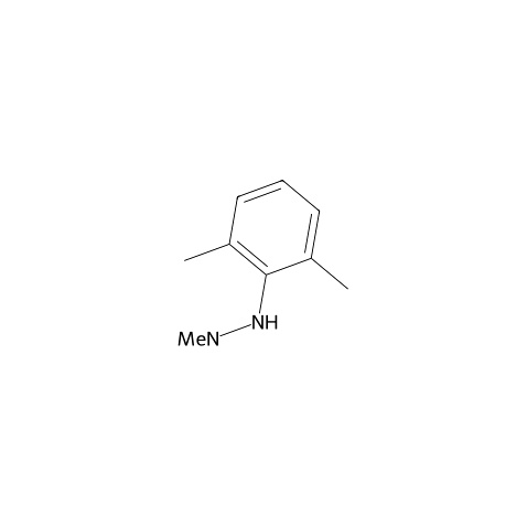 CNNc1c(C)cccc1C